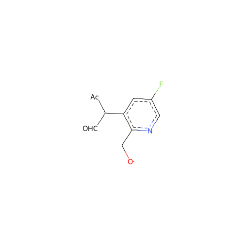 CC(=O)C(C=O)c1cc(F)cnc1C[O]